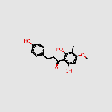 COc1cc(O)c(C(=O)CCc2ccc(O)cc2)c(O)c1C